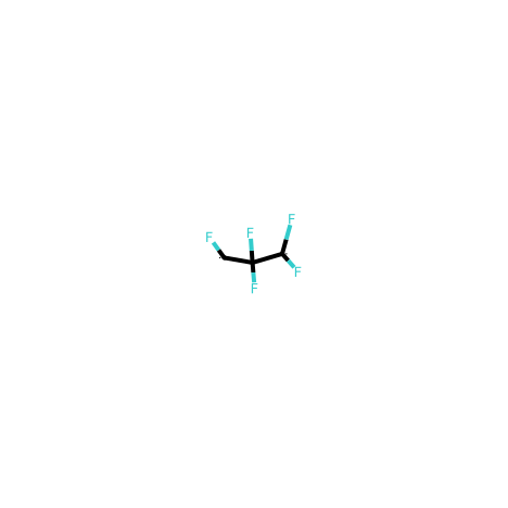 F[CH]C(F)(F)[C](F)F